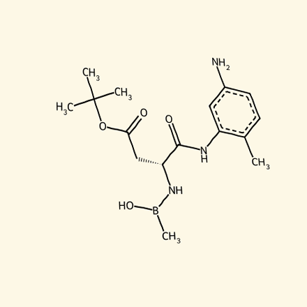 CB(O)N[C@H](CC(=O)OC(C)(C)C)C(=O)Nc1cc(N)ccc1C